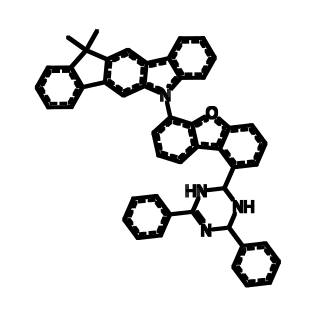 CC1(C)c2ccccc2-c2cc3c(cc21)c1ccccc1n3-c1cccc2c1oc1cccc(C3NC(c4ccccc4)=NC(c4ccccc4)N3)c12